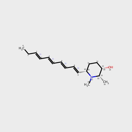 CC/C=C/C=C/C=C/C=C/[C@@H]1CC[C@H](O)[C@H](C)N1C